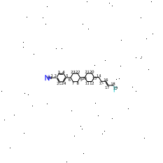 N#Cc1ccc(C2CCC(C3CCC(CCC=CCF)CC3)CC2)cc1